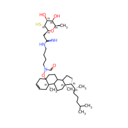 CC(C)CCC[C@@H](C)[C@H]1CCC2C3CCC4(ON(C=O)CCCCNC(=N)C[C@@H]5O[C@H](C)[C@H](O)[C@H](O)[C@H]5S)CC=CC[C@]4(C)C3CC[C@@]21C